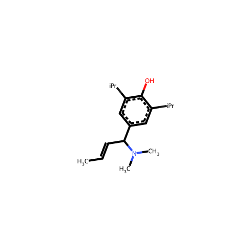 CC=CC(c1cc(C(C)C)c(O)c(C(C)C)c1)N(C)C